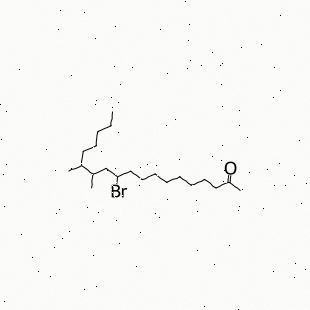 CCCCCC(C)C(C)CC(Br)CCCCCCCCC(C)=O